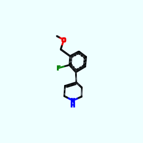 COCc1cccc(C2=CCNCC2)c1F